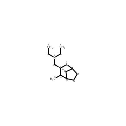 CCN(CC)C[C@H]1SC2CCC(C2)C1C